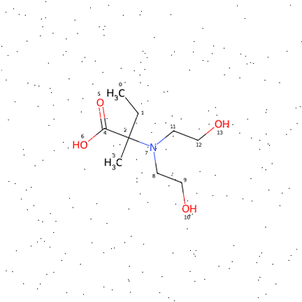 CCC(C)(C(=O)O)N(CCO)CCO